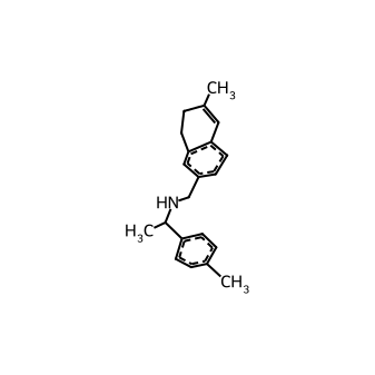 CC1=Cc2ccc(CNC(C)c3ccc(C)cc3)cc2CC1